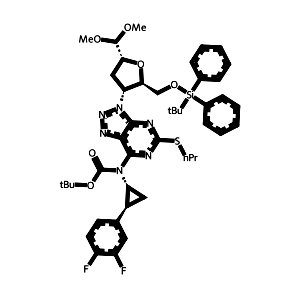 CCCSc1nc(N(C(=O)OC(C)(C)C)[C@@H]2C[C@H]2c2ccc(F)c(F)c2)c2nnn([C@@H]3C[C@H](C(OC)OC)O[C@H]3CO[Si](c3ccccc3)(c3ccccc3)C(C)(C)C)c2n1